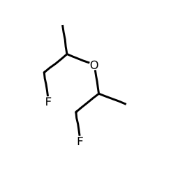 CC(CF)OC(C)CF